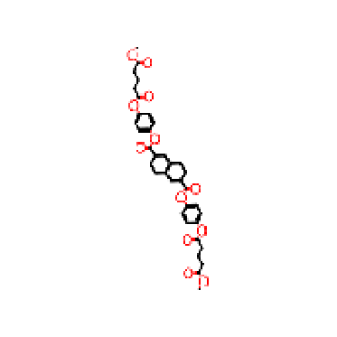 COC(=O)CCCC(=O)Oc1ccc(OC(=O)C2CCC3CC(C(=O)Oc4ccc(OC(=O)CCCC(=O)OC)cc4)CCC3C2)cc1